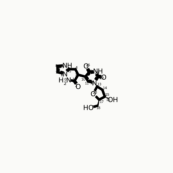 NC(=O)C(Cc1ncc[nH]1)c1cn([C@H]2C[C@H](O)[C@@H](CO)O2)c(=O)[nH]c1=O